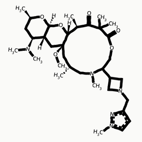 CO[C@]12C[C@@H](C)CN(C)C(C3CN(Cc4ccn(C)n4)C3)COC(=O)C(C)(C)C(=O)[C@H](C)[C@H]1O[C@@H]1O[C@H](C)C[C@H](N(C)C)[C@H]1C2